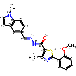 COc1ccccc1-c1nc(C)c(C(=O)N/N=C/c2ccc3c(ccn3C)c2)s1